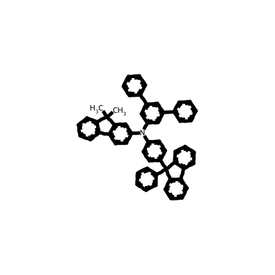 CC1(C)c2ccccc2-c2ccc(N(c3ccc(C4(c5ccccc5)c5ccccc5-c5ccccc54)cc3)c3cc(-c4ccccc4)cc(-c4ccccc4)c3)cc21